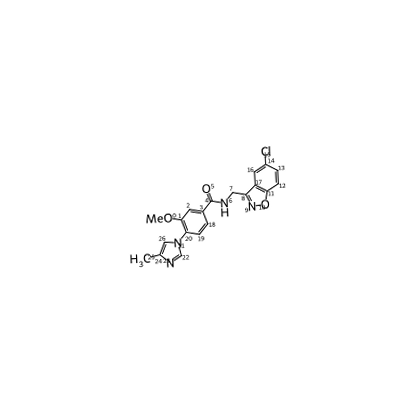 COc1cc(C(=O)NCc2noc3ccc(Cl)cc23)ccc1-n1cnc(C)c1